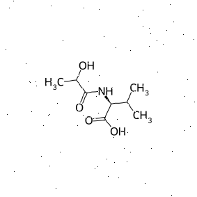 CC(O)C(=O)N[C@H](C(=O)O)C(C)C